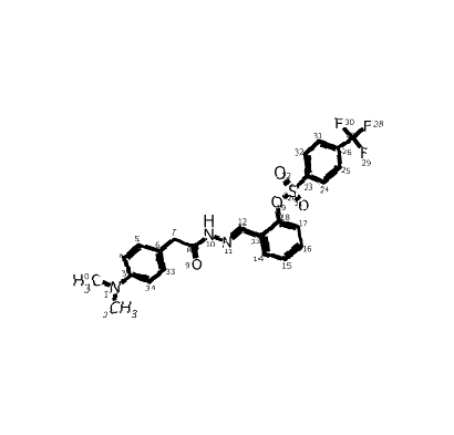 CN(C)c1ccc(CC(=O)NN=Cc2ccccc2OS(=O)(=O)c2ccc(C(F)(F)F)cc2)cc1